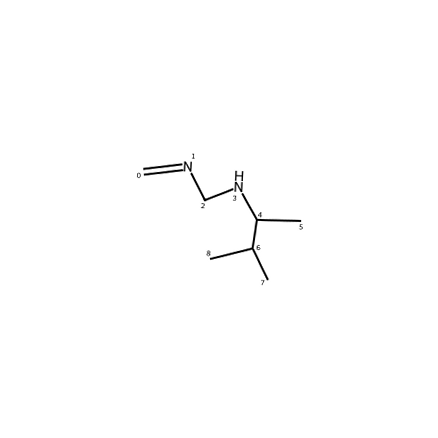 C=NCNC(C)C(C)C